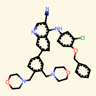 N#Cc1cnc2cc(-c3ccc(CN4CCOCC4)c(CN4CCOCC4)c3)ccc2c1Nc1ccc(OCc2ccccc2)c(Cl)c1